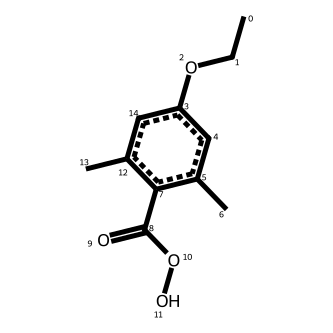 CCOc1cc(C)c(C(=O)OO)c(C)c1